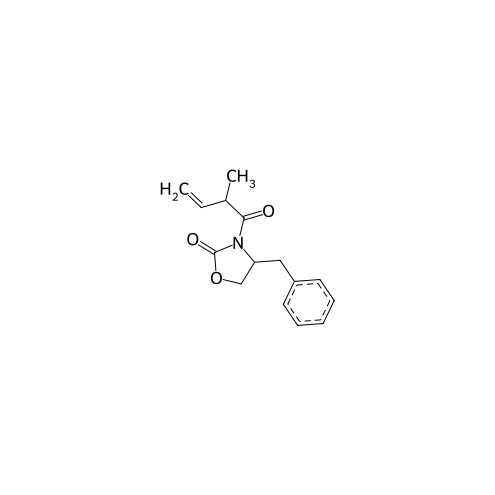 C=CC(C)C(=O)N1C(=O)OCC1Cc1ccccc1